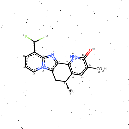 CC(C)(C)[C@H]1Cc2c(nc3c(C(F)F)cccn23)-c2[nH]c(=O)c(C(=O)O)cc21